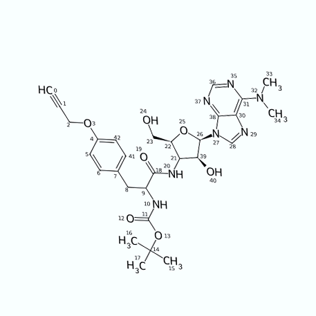 C#CCOc1ccc(CC(NC(=O)OC(C)(C)C)C(=O)NC2[C@@H](CO)O[C@@H](n3cnc4c(N(C)C)ncnc43)[C@H]2O)cc1